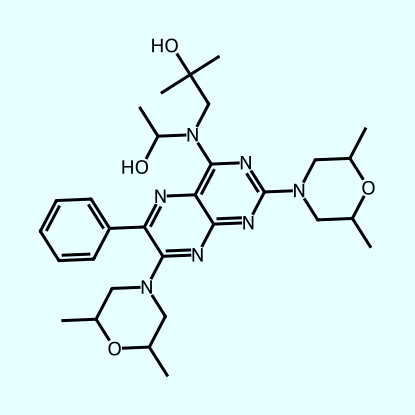 CC1CN(c2nc(N(CC(C)(C)O)C(C)O)c3nc(-c4ccccc4)c(N4CC(C)OC(C)C4)nc3n2)CC(C)O1